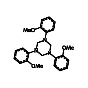 COc1ccccc1N1CN(c2ccccc2OC)CN(c2ccccc2OC)C1